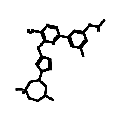 CNSc1cc(C)cc(-c2cnc(N)c(Oc3cnn(C4CC(C)CC[C@H](C)C4)c3)n2)c1